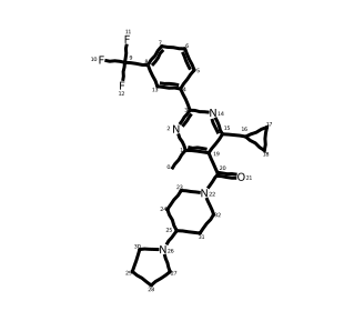 Cc1nc(-c2cccc(C(F)(F)F)c2)nc(C2CC2)c1C(=O)N1CCC(N2CCCC2)CC1